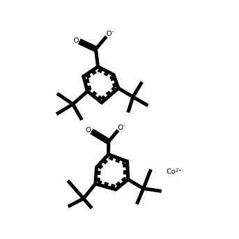 CC(C)(C)c1cc(C(=O)[O-])cc(C(C)(C)C)c1.CC(C)(C)c1cc(C(=O)[O-])cc(C(C)(C)C)c1.[Co+2]